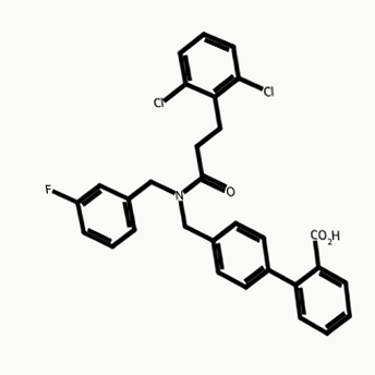 O=C(O)c1ccccc1-c1ccc(CN(Cc2cccc(F)c2)C(=O)CCc2c(Cl)cccc2Cl)cc1